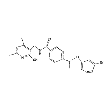 Cc1cc(C)c(CNC(=O)c2ccc(C(C)Oc3cccc(Br)c3)cc2)c(O)n1